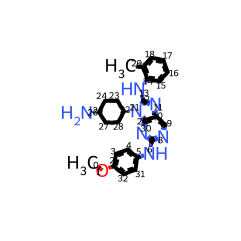 COc1ccc(Nc2ncc3nc(Nc4ccccc4C)n([C@H]4CC[C@@H](N)CC4)c3n2)cc1